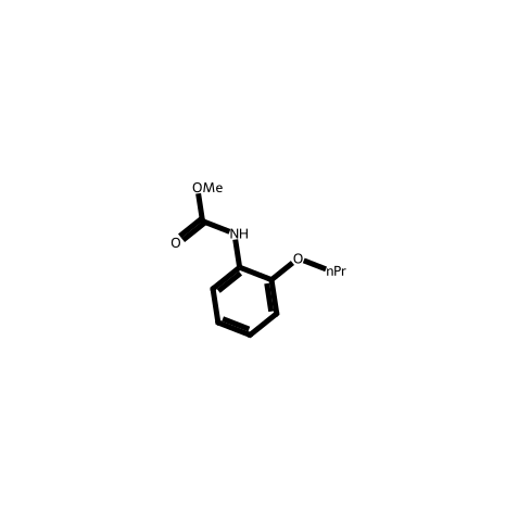 CCCOc1ccccc1NC(=O)OC